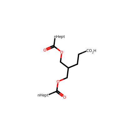 CCCCCCCC(=O)OCC(CCC(=O)O)COC(=O)CCCCCCC